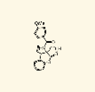 C=CC1c2ccccc2OC(=O)C1(NC(=O)c1ccc(OC)cc1)C(=O)O